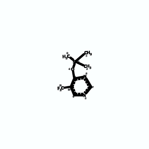 C[Si](C)(C)Oc1ncncc1C(F)(F)F